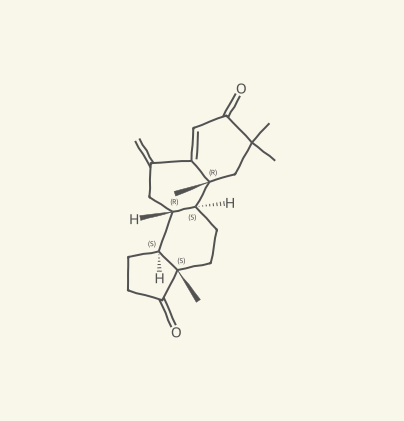 C=C1C[C@@H]2[C@H](CC[C@]3(C)C(=O)CC[C@@H]23)[C@@]2(C)CC(C)(C)C(=O)C=C12